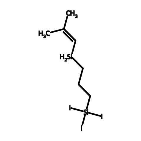 CC(C)=C[SiH2]CCC[Si](I)(I)I